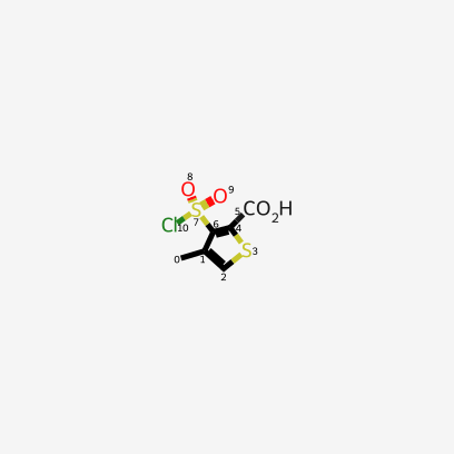 Cc1csc(C(=O)O)c1S(=O)(=O)Cl